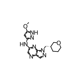 COc1cc(Nc2cnc3cnn(C[C@H]4CCCOC4)c3n2)n[nH]1